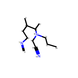 C=NCCC(C)C(C)N(CC#N)CCC